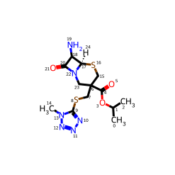 CC(C)OC(=O)C1(CSc2nnnn2C)CS[C@@H]2C(N)C(=O)N2C1